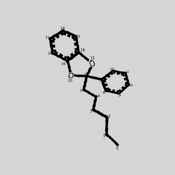 CCCCCCC1(c2ccccc2)Oc2c[c]ccc2O1